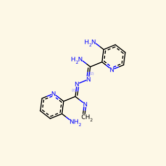 C=N/C(=N\N=C(/N)c1ncccc1N)c1ncccc1N